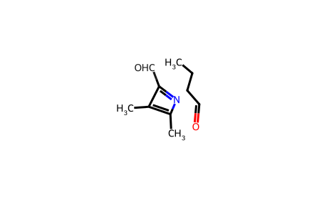 CC1=C(C)C(C=O)=N1.CCCC=O